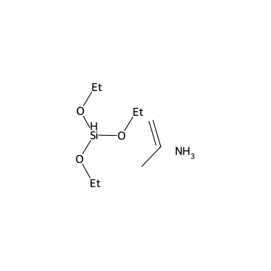 C=CC.CCO[SiH](OCC)OCC.N